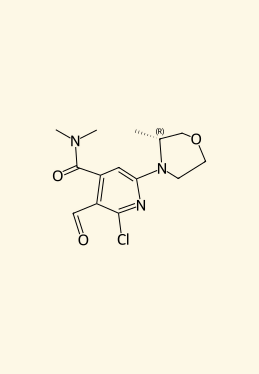 C[C@@H]1COCCN1c1cc(C(=O)N(C)C)c(C=O)c(Cl)n1